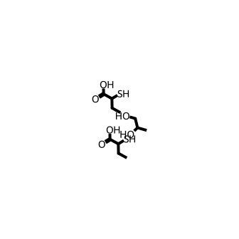 CC(O)CO.CCC(S)C(=O)O.CCC(S)C(=O)O